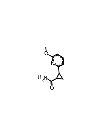 COc1cccc(C2CC2C(N)=O)n1